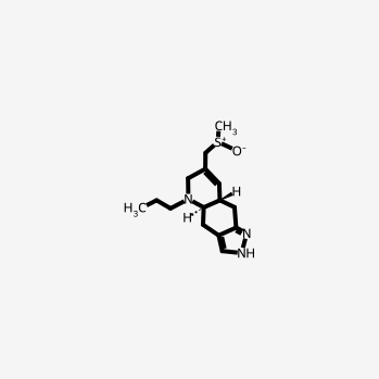 CCCN1CC(C[S+](C)[O-])=C[C@@H]2Cc3n[nH]cc3C[C@H]21